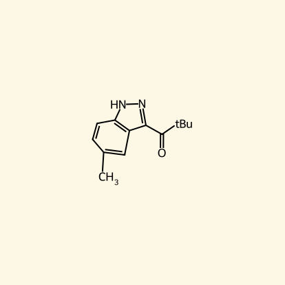 Cc1ccc2[nH]nc(C(=O)C(C)(C)C)c2c1